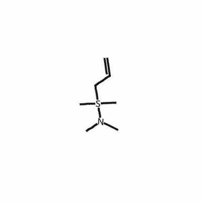 C=CCS(C)(C)N(C)C